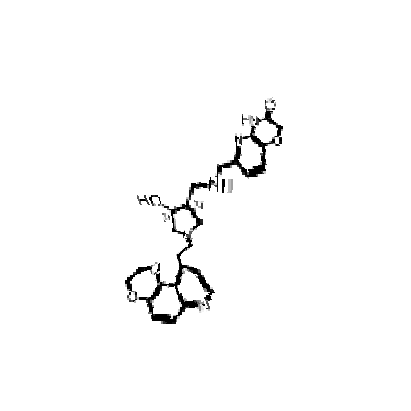 O=C1COc2ccc(CNC[C@H]3CN(CCc4ccnc5ccc6c(c45)OCCO6)C[C@H]3O)nc2N1